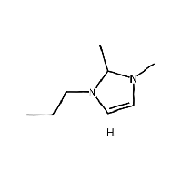 CCCN1C=CN(C)C1C.I